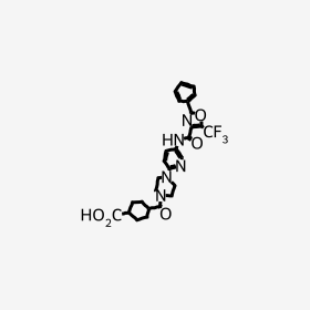 O=C(Nc1ccc(N2CCN(C(=O)C3CCC(C(=O)O)CC3)CC2)nc1)c1nc(-c2ccccc2)oc1C(F)(F)F